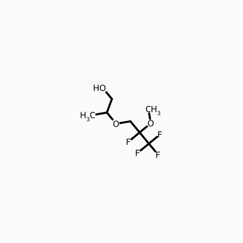 COC(F)(COC(C)CO)C(F)(F)F